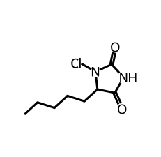 CCCCCC1C(=O)NC(=O)N1Cl